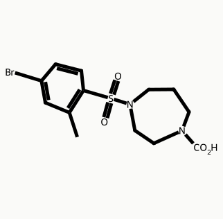 Cc1cc(Br)ccc1S(=O)(=O)N1CCCN(C(=O)O)CC1